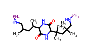 CC(CNP)CC(C)C1NC(=O)C(C(C)(C)CC(C)(C)CNP)NC1=O